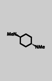 CN[C@H]1CC[C@H](NC)CC1